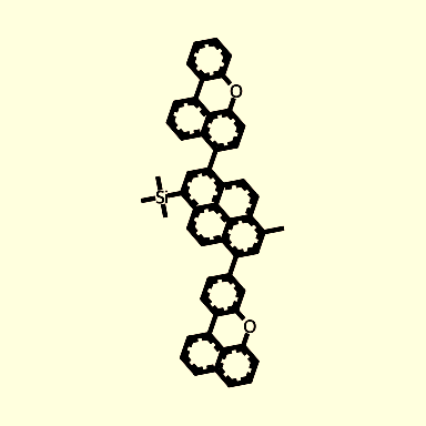 Cc1cc(-c2ccc3c(c2)Oc2cccc4cccc-3c24)c2ccc3c([Si](C)(C)C)cc(-c4ccc5c6c(cccc46)-c4ccccc4O5)c4ccc1c2c43